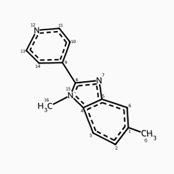 Cc1ccc2c(c1)nc(-c1ccncc1)n2C